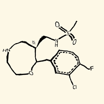 CS(=O)(=O)NC[C@@H]1CNCCOC1c1ccc(F)c(Cl)c1